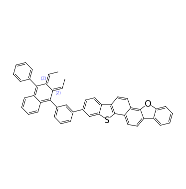 C/C=c1/c(-c2ccccc2)c2ccccc2c(-c2cccc(-c3ccc4c(c3)sc3c4ccc4c3ccc3c5ccccc5oc34)c2)/c1=C/C